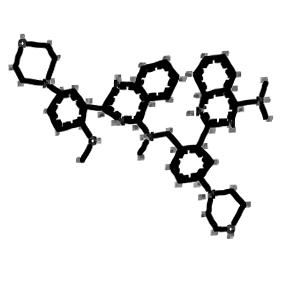 COc1ccc(N2CCOCC2)cc1-c1nc(N(C)Cc2ccc(N3CCOCC3)cc2-c2nc(N(C)C)c3ccccc3n2)c2ccccc2n1